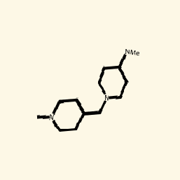 CNC1CCN(CC2CCN(C)CC2)CC1